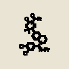 CCC(=O)N1N=C(c2ccc3c(c2)CCCN3/C(=N\C(C)C)c2ccc(Cl)c(Cl)c2)C(C)(C)SC1=O